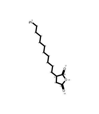 CC(C)CCCCCCCCCCC1CC(=O)OC1=O